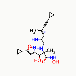 C/C(C#CC1CC1)=C\C(=N)CNC(C)(C(=O)NO)C(O)c1cc(C2CC2)on1